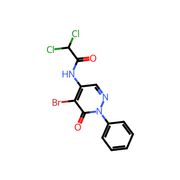 O=C(Nc1cnn(-c2ccccc2)c(=O)c1Br)C(Cl)Cl